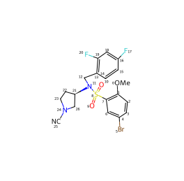 COc1ccc(Br)cc1S(=O)(=O)N(Cc1ccc(F)cc1F)[C@@H]1CCN(C#N)C1